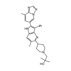 Cc1cc2[nH]c(-c3cc(C)c4ncnn4c3)c(C(C)C)c2nc1C1CCN(CC(C)(C)O)CC1